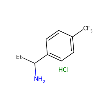 CCC(N)c1ccc(C(F)(F)F)cc1.Cl